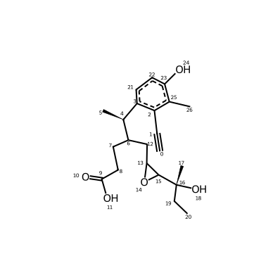 C#Cc1c([C@H](C)C(CCC(=O)O)CC2OC2[C@](C)(O)CC)ccc(O)c1C